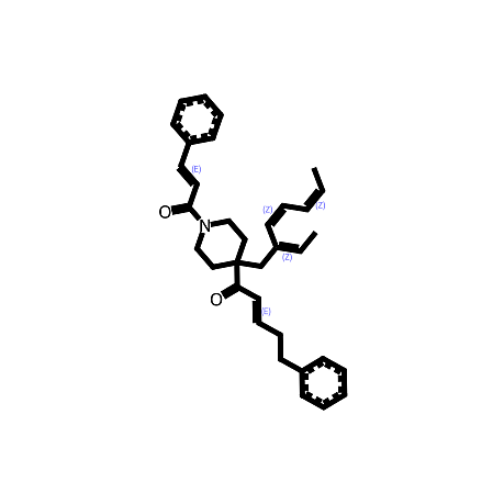 C\C=C/C=C\C(=C/C)CC1(C(=O)/C=C/CCc2ccccc2)CCN(C(=O)/C=C/c2ccccc2)CC1